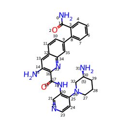 NC(=O)c1ccccc1-c1ccc2cc(N)c(C(=O)Nc3cnccc3N3CCC[C@H](N)C3)nc2c1